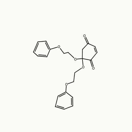 O=C1C=CC(=O)C(OCCOc2ccccc2)(OCCOc2ccccc2)C1